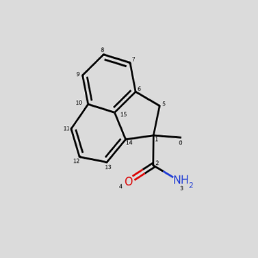 CC1(C(N)=O)Cc2cccc3cccc1c23